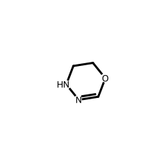 C1=NNCCO1